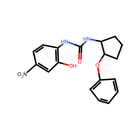 O=C(Nc1ccc([N+](=O)[O-])cc1O)NC1CCCC1Oc1ccccc1